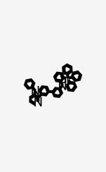 c1ccc(-n2c3ccc(-c4cccc(N5c6ccccc6[Si](c6ccccc6)(c6ccccc6)c6ccccc65)c4)cc3c3ncccc32)cc1